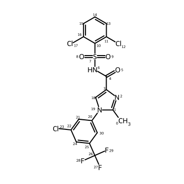 Cc1nc(C(=O)NS(=O)(=O)c2c(Cl)cccc2Cl)cn1-c1cc(Cl)cc(C(F)(F)F)c1